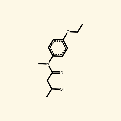 CCOc1ccc(N(C)C(=O)CC(C)O)cc1